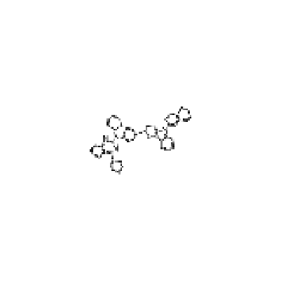 C1=CC2c3cc(-c4ccc5c(c4)c4ccccc4n5-c4ccc5ccccc5c4)ccc3N(c3nc(-c4ccccc4)c4ccccc4n3)C2C=C1